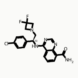 NC(=O)c1cccc2c(N[C@H](CN3CC(F)(F)C3)c3ccc(Cl)cc3)ncnc12